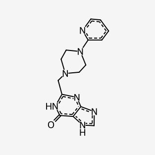 O=c1[nH]c(CN2CCN(c3ccccn3)CC2)nc2nc[nH]c12